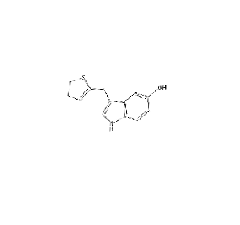 Oc1ccc2[nH]cc(CC3=CCCS3)c2c1